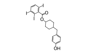 O=C(OC1CCC(Cc2ccc(O)cc2)CC1)c1c(I)ccc(I)c1I